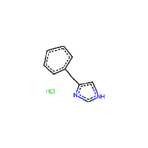 Cl.c1ccc(-c2c[nH]cn2)cc1